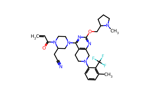 C=CC(=O)N1CCN(c2nc(OCC3CCCN3C)nc3c2CCN(c2cccc(C)c2C(F)(F)F)C3)CC1CC#N